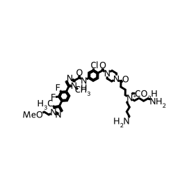 COCCn1ncc(-c2ccc(-c3cnc(C(=O)Nc4ccc(C(=O)N5CCN(C(=O)CCC[N+](CCCCN)(CCCCN)CC(=O)O)CC5)c(Cl)c4)n3C)c(F)c2F)c1C